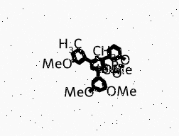 COc1cc(C)cc(-c2cc(-c3cc(OC)cc(OC)c3)c(OC)c(-c3cccc4c3[P@](=O)(C(C)(C)C)CO4)c2C)c1